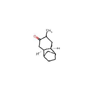 CC1C[C@H]2C3CCC(C3)[C@H]2CC1=O